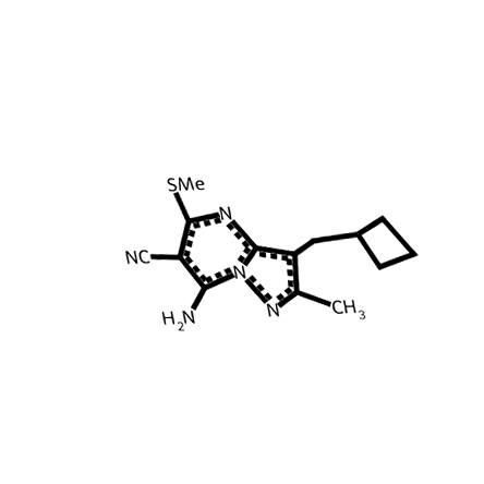 CSc1nc2c(CC3CCC3)c(C)nn2c(N)c1C#N